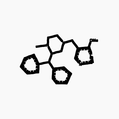 COc1ccncc1CN1CCN(C)C(C(c2ccccc2)c2ccccc2)C1